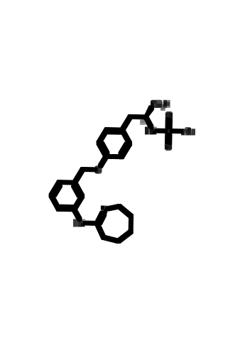 CCCCS(=O)(=O)N[C@@H](Cc1ccc(OCc2cccc(NC3=NCCCCC3)c2)cc1)C(=O)O